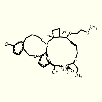 CC[C@@H]1CC/C=C/[C@H](OCCOC)[C@@H]2CC[C@H]2CN2CCCCc3cc(Cl)ccc3COc3ccc(cc32)C(O)NS1(=O)=O